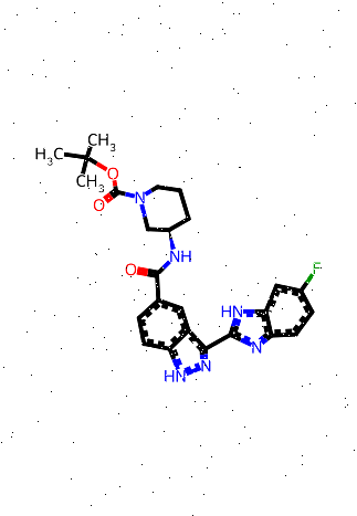 CC(C)(C)OC(=O)N1CCC[C@@H](NC(=O)c2ccc3[nH]nc(-c4nc5ccc(F)cc5[nH]4)c3c2)C1